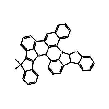 CC1(C)c2ccccc2-c2c1c1cccc3c1n2B1c2cccc4c2N(c2c1c-3cc1ccccc21)C1Sc2ccccc2C41